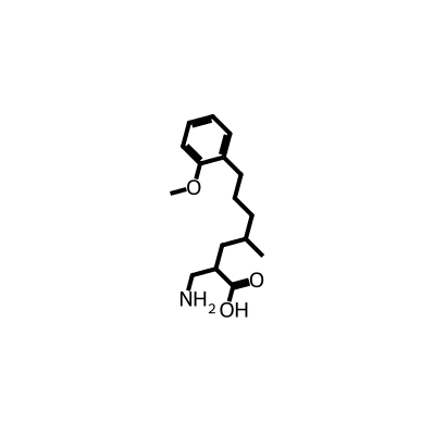 COc1ccccc1CCCC(C)CC(CN)C(=O)O